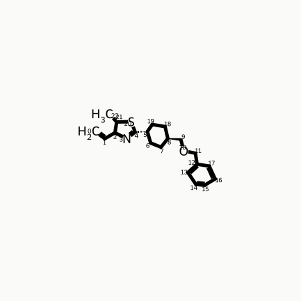 C=CC1N=C([C@H]2CC[C@H](COCc3ccccc3)CC2)SC1C